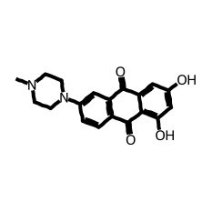 CN1CCN(c2ccc3c(c2)C(=O)c2cc(O)cc(O)c2C3=O)CC1